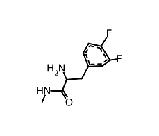 CNC(=O)C(N)Cc1ccc(F)c(F)c1